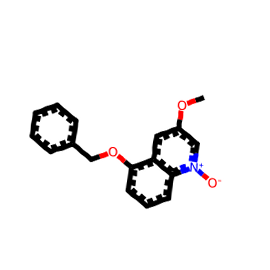 COc1cc2c(OCc3ccccc3)cccc2[n+]([O-])c1